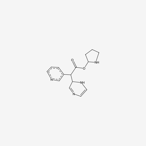 O=C(OC1CCCN1)C(c1cccnc1)C1C=NC=CN1